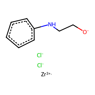 [Cl-].[Cl-].[O-]CCNc1ccccc1.[Zr+3]